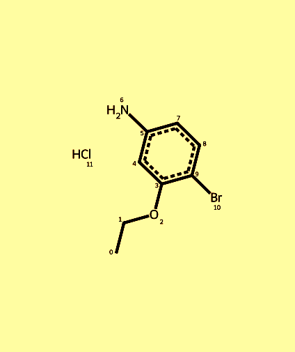 CCOc1cc(N)ccc1Br.Cl